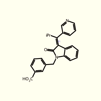 CC(C)/C(=C1\C(=O)N(Cc2cccc(C(=O)O)c2)c2ccccc21)c1cccnc1